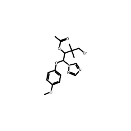 COc1ccc(OC(C(OC(C)=O)C(C)(C)CBr)n2cncn2)cc1